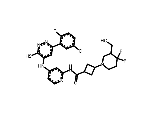 O=C(Nc1cc(Nc2cc(-c3cc(Cl)ccc3F)nnc2S)ccn1)C1CC(N2CCC(F)(F)C(CO)C2)C1